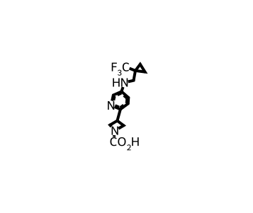 O=C(O)N1CC(c2ccc(NCC3(C(F)(F)F)CC3)cn2)C1